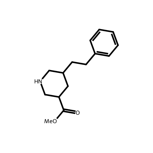 COC(=O)C1CNCC(CCc2ccccc2)C1